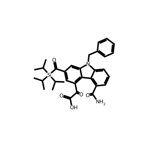 CC(C)[Si](C(=O)c1cc(C(=O)C(=O)O)c2c3c(C(N)=O)cccc3n(Cc3ccccc3)c2c1)(C(C)C)C(C)C